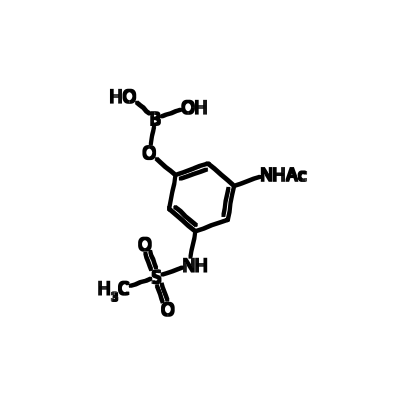 CC(=O)Nc1cc(NS(C)(=O)=O)cc(OB(O)O)c1